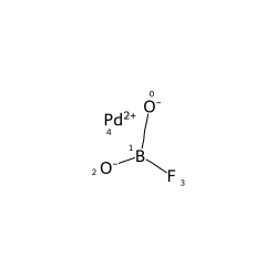 [O-]B([O-])F.[Pd+2]